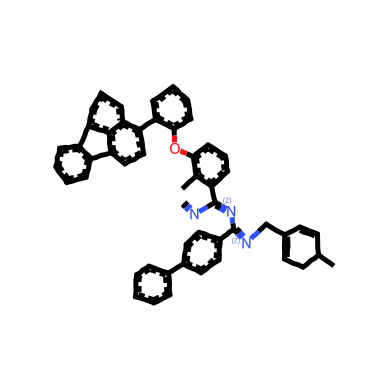 C=N/C(=N\C(=N/CC1=CCC(C)C=C1)c1ccc(-c2ccccc2)cc1)c1cccc(Oc2ccccc2-c2ccc3c4c(cccc24)-c2ccccc2-3)c1C